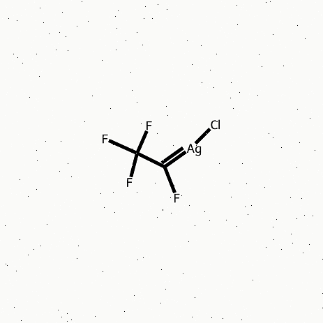 F[C](=[Ag][Cl])C(F)(F)F